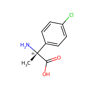 C[C@](N)(C(=O)O)c1ccc(Cl)cc1